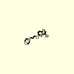 Brc1cnc2ccc(OCCCN3CCOCC3)nn12